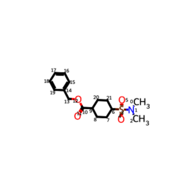 CN(C)S(=O)(=O)C1CCC(C(=O)OCc2ccccc2)CC1